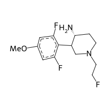 COc1cc(F)c(C2CN(CCF)CC[C@H]2N)c(F)c1